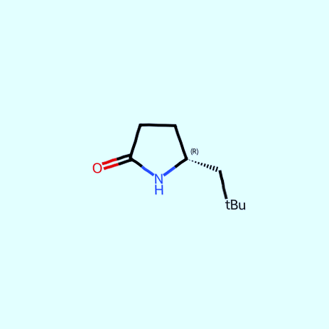 CC(C)(C)C[C@H]1CCC(=O)N1